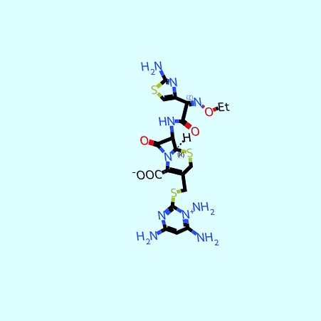 CCO/N=C(\C(=O)NC1C(=O)N2C(C(=O)[O-])=C(CSc3nc(N)cc(N)[n+]3N)CS[C@H]12)c1csc(N)n1